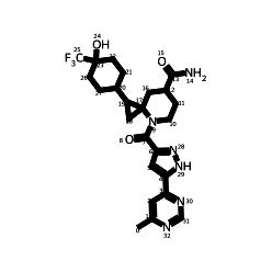 Cc1cc(-c2cc(C(=O)N3CCC(C(N)=O)CC34CC4C3CCC(O)(C(F)(F)F)CC3)n[nH]2)ncn1